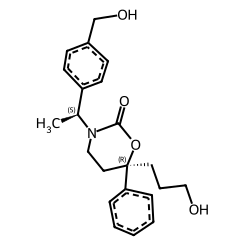 C[C@@H](c1ccc(CO)cc1)N1CC[C@](CCCO)(c2ccccc2)OC1=O